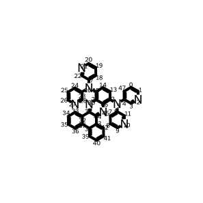 c1cncc(N(c2cccnc2)c2ccc(N(c3cccnc3)c3cccnc3)c3nc4c5ccccc5c5ccccc5c4nc23)c1